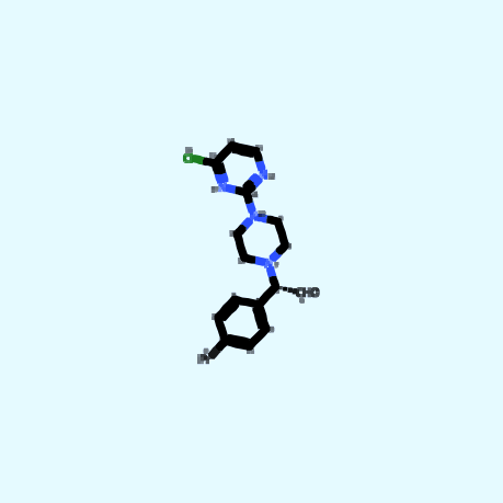 CC(C)c1ccc([C@@H](C=O)N2CCN(c3nccc(Cl)n3)CC2)cc1